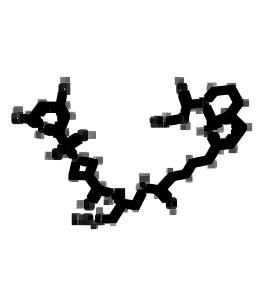 CCOC(=O)CC(CNC(=O)CCCCc1ccc2c(n1)N(C(=O)OC(C)(C)C)CCC2)NC(=O)C1CN(S(=O)(=O)c2cc(Cl)cc(Cl)c2)C1